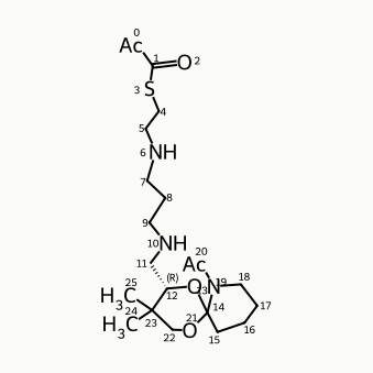 CC(=O)C(=O)SCCNCCCNC[C@@H]1OC2(CCCCN2C(C)=O)OCC1(C)C